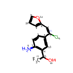 Nc1ccc(/C(Cl)=C\c2ccco2)cc1C(O)C(F)(F)F